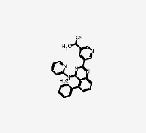 CC(C#N)c1cncc(-c2nc(N(C)c3ccccn3)c3c(-c4ccccc4)cccc3n2)c1